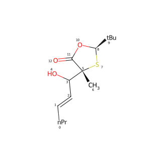 CCC/C=C/C(O)[C@@]1(C)S[C@H](C(C)(C)C)OC1=O